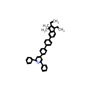 C=CC1=C(C=C)C(C)(C)c2cc(-c3ccc(-c4ccc(-c5cc(-c6ccccc6)nc(-c6ccccc6)c5)cc4)cc3)ccc21